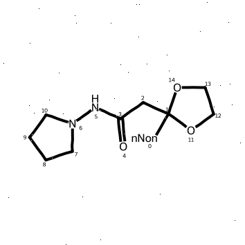 CCCCCCCCCC1(CC(=O)NN2CCCC2)OCCO1